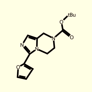 CC(C)(C)OC(=O)N1CCn2c(cnc2-c2ccco2)C1